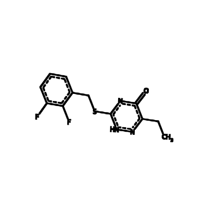 CCc1n[nH]c(SCc2cccc(F)c2F)nc1=O